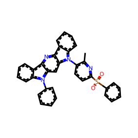 Cc1nc(S(=O)(=O)c2ccccc2)ccc1-n1c2ccccc2c2nc3c4ccccc4n(-c4ccccc4)c3cc21